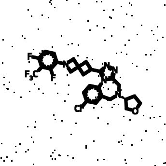 Fc1ccc(N2CC3(CC(c4nnc5n4-c4ccc(Cl)cc4CN([C@@H]4CCOC4)C5)C3)C2)c(F)c1C(F)(F)F